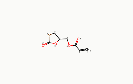 C=CC(=O)OCC1CSC(=O)O1